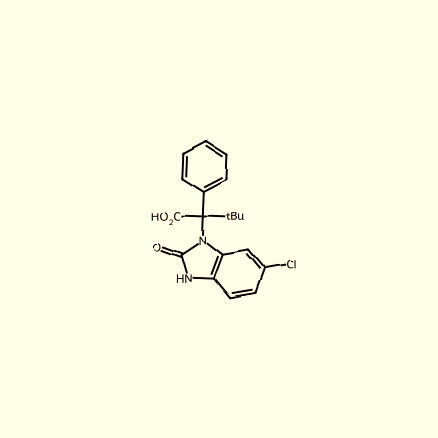 CC(C)(C)C(C(=O)O)(c1ccccc1)n1c(=O)[nH]c2ccc(Cl)cc21